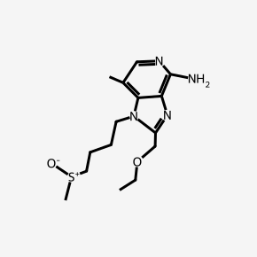 CCOCc1nc2c(N)ncc(C)c2n1CCCC[S+](C)[O-]